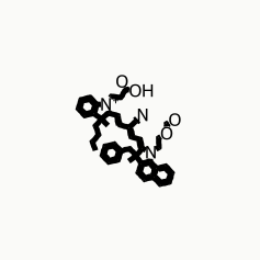 CCCCC1(C)C(/C=C/C(C#N)=C/C=C2/N(CCOC=O)c3c(ccc4ccccc34)C2(C)Cc2ccccc2)=[N+](CCC(=O)O)c2ccccc21